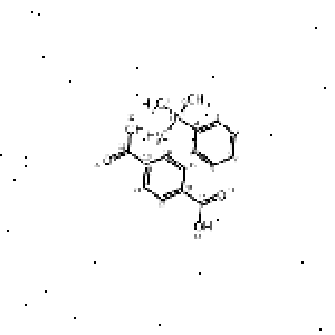 C[N+](C)(C)c1ccccc1.O=C(O)c1ccc(C(=O)O)cc1